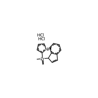 Cl.Cl.[CH2]=[Zr]([CH3])([c]1ccc[nH]1)[CH]1C=Cc2ccccc21